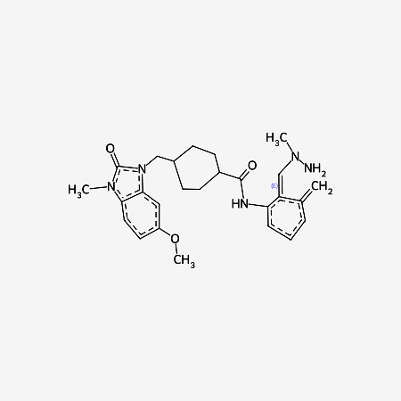 C=c1cccc(NC(=O)C2CCC(Cn3c(=O)n(C)c4ccc(OC)cc43)CC2)/c1=C/N(C)N